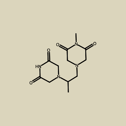 CC(CN1CC(=O)N(C)C(=O)C1)N1CC(=O)NC(=O)C1